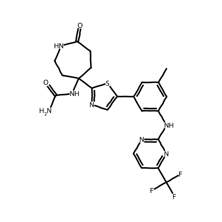 Cc1cc(Nc2nccc(C(F)(F)F)n2)cc(-c2cnc(C3(NC(N)=O)CCNC(=O)CC3)s2)c1